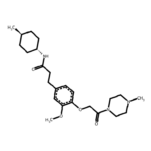 COc1cc(CCC(=O)N[C@H]2CC[C@H](C)CC2)ccc1OCC(=O)N1CCN(C)CC1